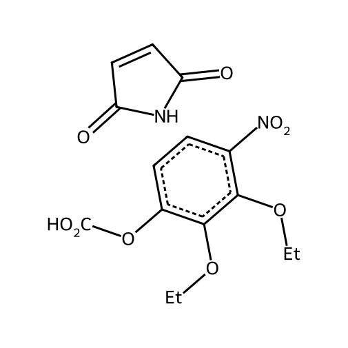 CCOc1c(OC(=O)O)ccc([N+](=O)[O-])c1OCC.O=C1C=CC(=O)N1